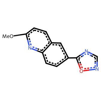 COc1ccc2cc(-c3ncno3)ccc2n1